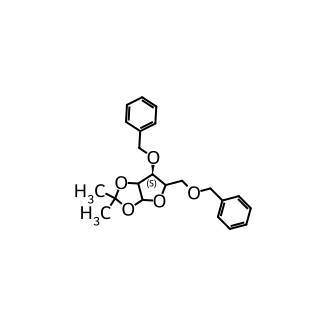 CC1(C)OC2OC(COCc3ccccc3)[C@H](OCc3ccccc3)C2O1